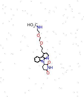 O=C(O)NCCOCCOCCCc1ccnc2c1c1ccccc1n2C1CCC(=O)NC1=O